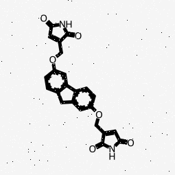 O=C1C=C(COc2ccc3c(c2)Cc2ccc(OCC4=CC(=O)NC4=O)cc2-3)C(=O)N1